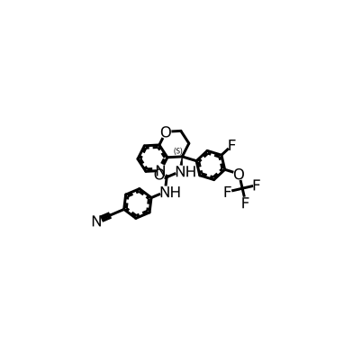 N#Cc1ccc(NC(=O)N[C@]2(c3ccc(OC(F)(F)F)c(F)c3)CCOc3cccnc32)cc1